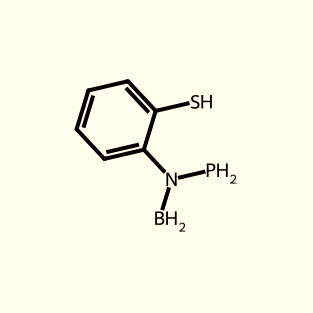 BN(P)c1ccccc1S